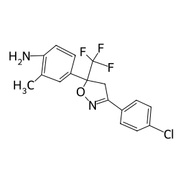 Cc1cc(C2(C(F)(F)F)CC(c3ccc(Cl)cc3)=NO2)ccc1N